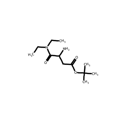 CCN(CC)C(=O)C(N)CC(=O)OC(C)(C)C